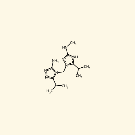 CNc1n[n+](Cn2c(N)nnc2C(C)C)c(C(C)C)[nH]1